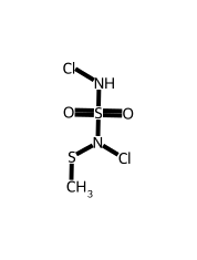 CSN(Cl)S(=O)(=O)NCl